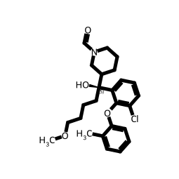 COCCCC[C@@](O)(c1cccc(Cl)c1Oc1ccccc1C)C1CCCN(C=O)C1